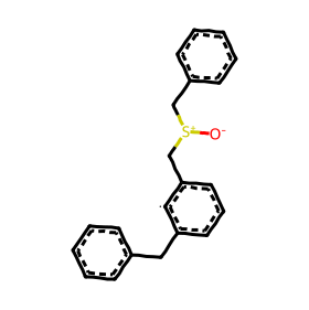 [O-][S+](Cc1[c]c(Cc2ccccc2)ccc1)Cc1ccccc1